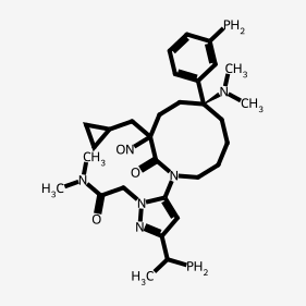 CC(P)c1cc(N2CCCC[C@](c3cccc(P)c3)(N(C)C)CCC(CC3CC3)(N=O)C2=O)n(CC(=O)N(C)C)n1